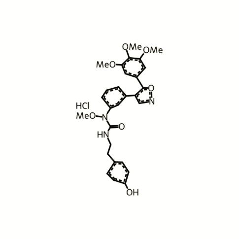 COc1cc(-c2oncc2-c2cccc(N(OC)C(=O)NCCc3ccc(O)cc3)c2)cc(OC)c1OC.Cl